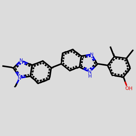 Cc1cc(O)cc(-c2nc3ccc(-c4ccc5c(c4)nc(C)n5C)cc3[nH]2)c1C